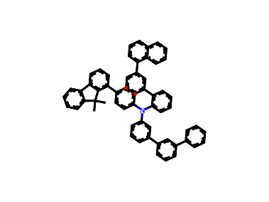 CC1(C)c2ccccc2-c2cccc(-c3ccc(N(c4cccc(-c5cccc(-c6ccccc6)c5)c4)c4ccccc4-c4cccc(-c5cccc6ccccc56)c4)cc3)c21